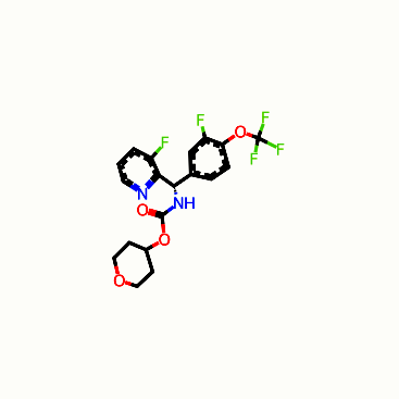 O=C(N[C@@H](c1ccc(OC(F)(F)F)c(F)c1)c1ncccc1F)OC1CCOCC1